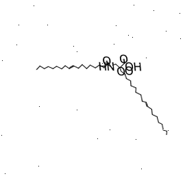 CCCCCCCCC=CCCCCCCCC(=O)NCC(OC(=O)CCCCCCCC=CCCCCCCCC)C(=O)O